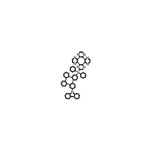 c1ccc([Si](c2ccccc2)(c2ccc3c(c2)-c2ccccc2-c2ccccc2-c2cc(-n4c5ccccc5c5ccccc54)ccc2-3)c2cnc3c(n2)-c2nccnc2-c2nccnc2-c2nccnc2-3)cc1